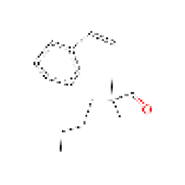 C=Cc1ccccc1.CCCCC(C)(C)C=O